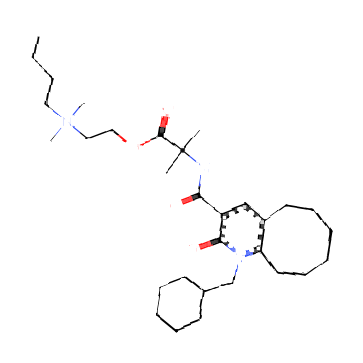 CCCC[N+](C)(C)CCOC(=O)C(C)(C)NC(=O)c1cc2c(n(CC3CCCCC3)c1=O)CCCCCC2